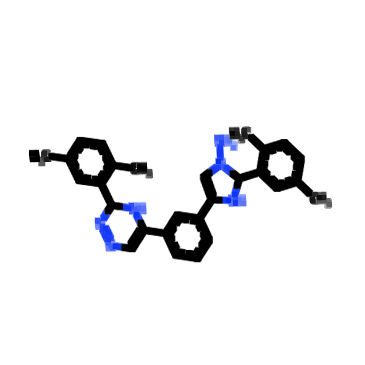 Cc1ccc(C)c(C2N=NC=C(c3cccc(C4=CN(N)C(c5cc(C)ccc5C)N4)c3)N2)c1